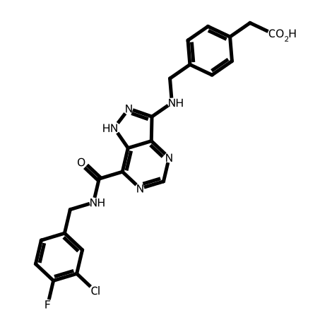 O=C(O)Cc1ccc(CNc2n[nH]c3c(C(=O)NCc4ccc(F)c(Cl)c4)ncnc23)cc1